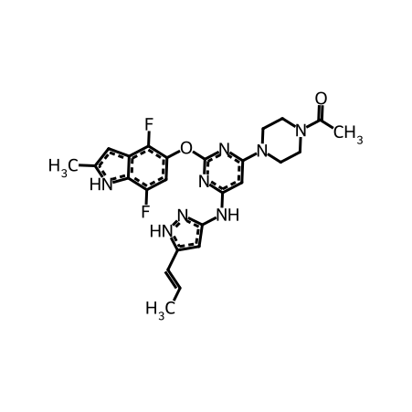 C/C=C/c1cc(Nc2cc(N3CCN(C(C)=O)CC3)nc(Oc3cc(F)c4[nH]c(C)cc4c3F)n2)n[nH]1